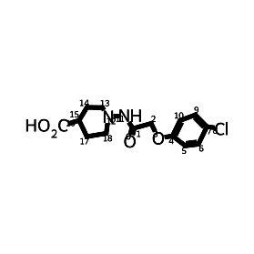 O=C(COc1ccc(Cl)cc1)NN1CCC(C(=O)O)CC1